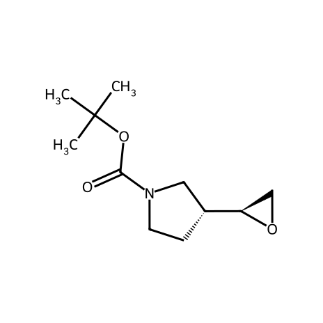 CC(C)(C)OC(=O)N1CC[C@@H]([C@H]2CO2)C1